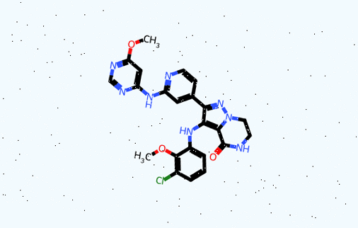 COc1cc(Nc2cc(-c3nn4c(c3Nc3cccc(Cl)c3OC)C(=O)NCC4)ccn2)ncn1